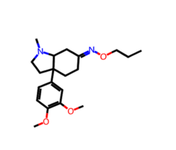 CCCO/N=C1\CCC2(c3ccc(OC)c(OC)c3)CCN(C)C2C1